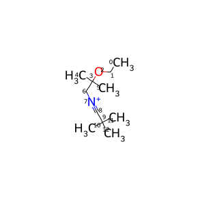 CCOC(C)(C)C[N+]#CC(C)(C)C